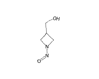 O=NN1CC(CO)C1